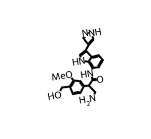 COc1cc(C(CN)C(=O)Nc2cccc3c(-c4cn[nH]c4)c[nH]c23)ccc1CO